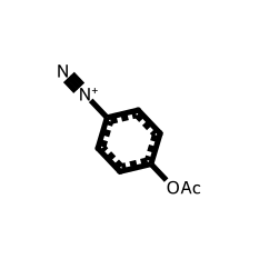 CC(=O)Oc1ccc([N+]#N)cc1